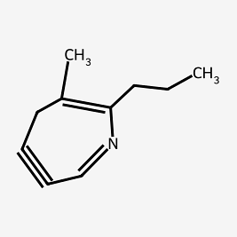 CCCC1=C(C)CC#CC=N1